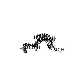 Cc1c(-c2ccc(N3CCc4cccc(C(=O)Nc5nc6ccccc6s5)c4C3)nc2C(=O)O)cnn1CC12CC3(C)CC(C)(C1)CC(OCCN(CC[C@H](O)CO)C(=O)OCc1ccc(NC(=O)[C@H](C)NC(=O)[C@@H](NC(=O)CCN(CCOCCS(=O)(=O)O)C(=O)CN4C(=O)C=CC4=O)C(C)C)cc1CC[C@@H]1O[C@H](C(=O)O)[C@H](O)[C@@H](O)[C@H]1O)(C3)C2